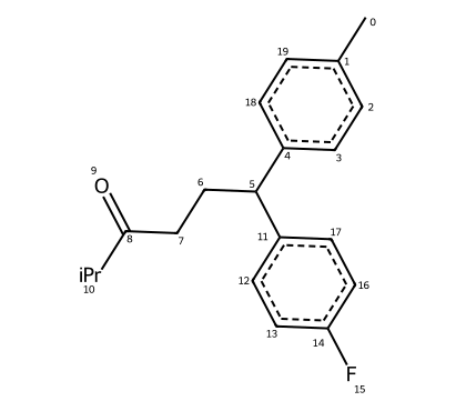 Cc1ccc(C(CCC(=O)C(C)C)c2ccc(F)cc2)cc1